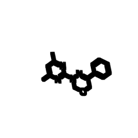 Cc1cc(C)nc(N2COCC(c3ccccc3)=N2)n1